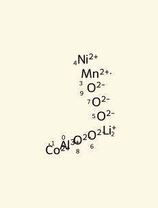 [Al+3].[Co+2].[Li+].[Mn+2].[Ni+2].[O-2].[O-2].[O-2].[O-2].[O-2]